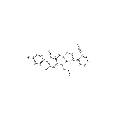 CCCCc1nc(C)c(-c2ccc(F)cc2)c(=O)n1Cc1ccc(-c2ccccc2C#N)cc1